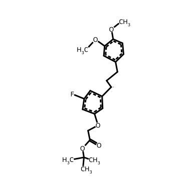 COc1ccc(CC[CH]c2cc(F)cc(OCC(=O)OC(C)(C)C)c2)cc1OC